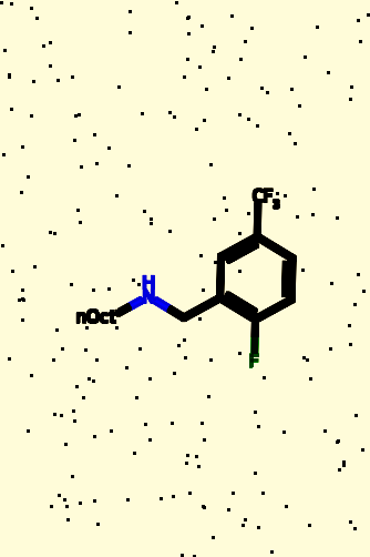 CCCCCCCCNCc1cc(C(F)(F)F)ccc1F